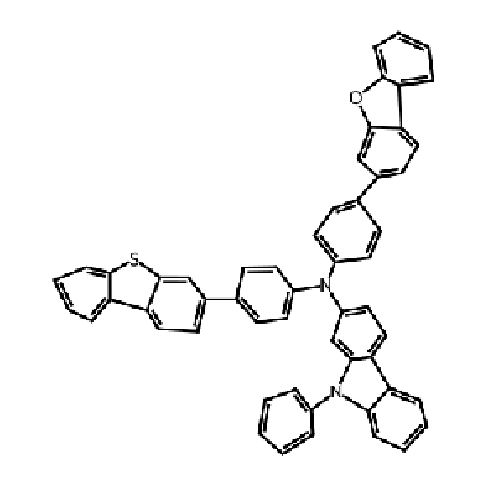 c1ccc(-n2c3ccccc3c3ccc(N(c4ccc(-c5ccc6c(c5)oc5ccccc56)cc4)c4ccc(-c5ccc6c(c5)sc5ccccc56)cc4)cc32)cc1